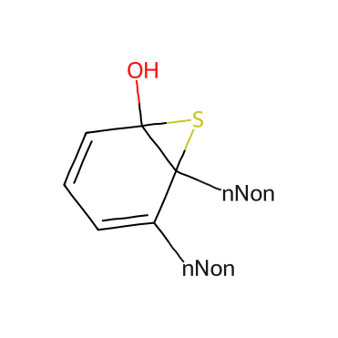 CCCCCCCCCC1=CC=CC2(O)SC12CCCCCCCCC